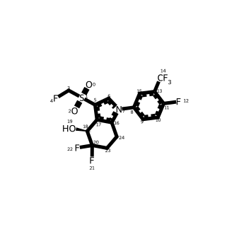 O=S(=O)(CF)c1cn(-c2ccc(F)c(C(F)(F)F)c2)c2c1[C@H](O)C(F)(F)CC2